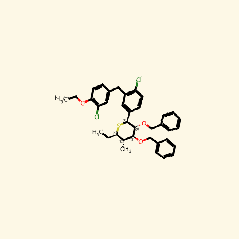 CCOc1ccc(Cc2cc([C@@H]3S[C@H](CC)[C@@H](C)[C@H](OCc4ccccc4)[C@H]3OCc3ccccc3)ccc2Cl)cc1Cl